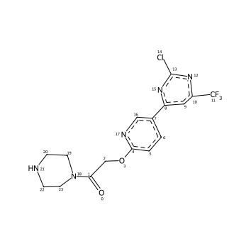 O=C(COc1ccc(-c2cc(C(F)(F)F)nc(Cl)n2)cn1)N1CCNCC1